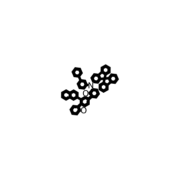 c1ccc(-c2cccc(N(c3ccc4c(c3)C3(c5ccccc5-c5ccccc53)c3ccccc3-4)c3cccc4c3oc3c(-c5ccc6ccccc6c5)c5c(cc34)oc3ccccc35)c2)cc1